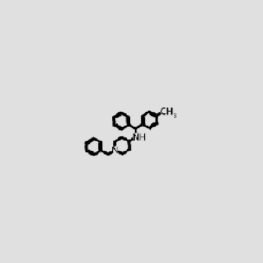 Cc1ccc(C(NC2CCN(Cc3ccccc3)CC2)c2ccccc2)cc1